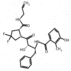 C=CCNC(=O)[C@@H]1CC(F)(F)CN1C(=O)[C@@H](O)[C@H](Cc1ccccc1)NC(=O)c1cccc(O)c1C